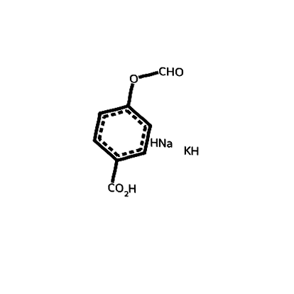 O=COc1ccc(C(=O)O)cc1.[KH].[NaH]